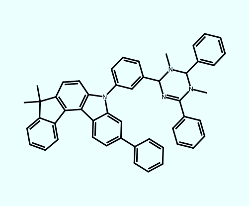 CN1C(c2ccccc2)=NC(c2cccc(-n3c4cc(-c5ccccc5)ccc4c4c5c(ccc43)C(C)(C)c3ccccc3-5)c2)N(C)C1c1ccccc1